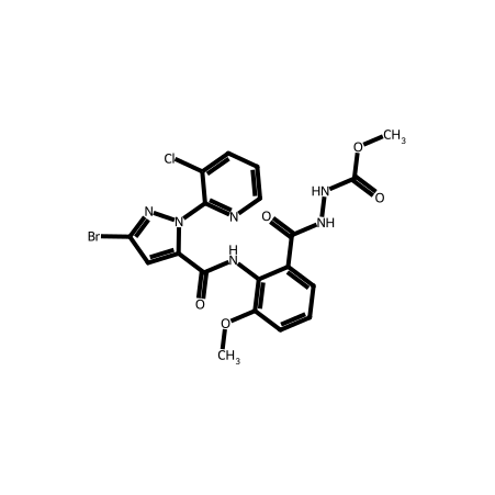 COC(=O)NNC(=O)c1cccc(OC)c1NC(=O)c1cc(Br)nn1-c1ncccc1Cl